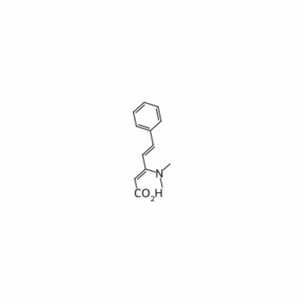 CN(C)C(C=Cc1ccccc1)=CC(=O)O